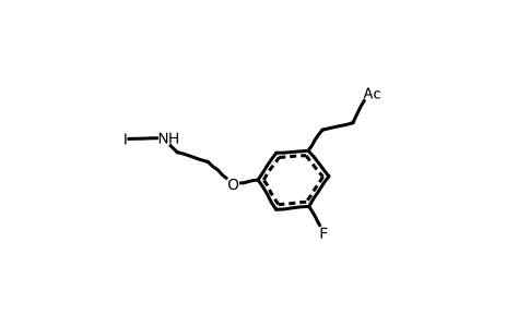 CC(=O)CCc1cc(F)cc(OCCNI)c1